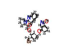 CC(Br)c1ccc(COc2cccc3c2C=NC3=O)cc1.O=CC(=O)C1CCCCN1c1ccc2ccccc2n1